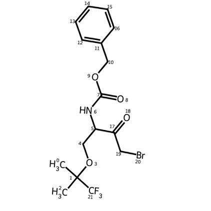 CC(C)(OCC(NC(=O)OCc1ccccc1)C(=O)CBr)C(F)(F)F